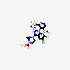 Cc1ccnc(C(C)C)c1-n1c(=O)nc(N2CCN(C(=O)O)C3CC32)c2cc(Cl)c(Cl)nc21